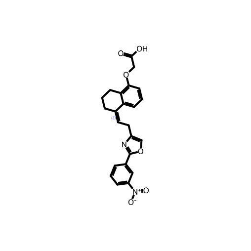 O=C(O)COc1cccc2c1CCC/C2=C/Cc1coc(-c2cccc([N+](=O)[O-])c2)n1